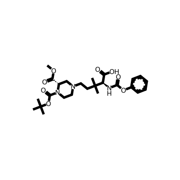 COC(=O)[C@@H]1CN(CCC(C)(C)[C@H](NC(=O)Oc2ccccc2)C(=O)O)CCN1C(=O)OC(C)(C)C